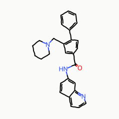 O=C(Nc1ccc2cccnc2c1)c1ccc(-c2ccccc2)c(CN2CCCCC2)c1